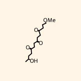 COCCCC(=O)CCC(=O)CCC(=O)CCC(C)O